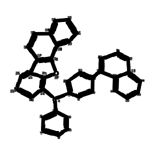 c1ccc(N(c2ccc(-c3cccc4ccccc34)cc2)c2cncc3c2oc2c4ccccc4ccc32)cc1